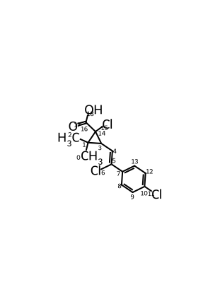 CC1(C)C(/C=C(\Cl)c2ccc(Cl)cc2)C1(Cl)C(=O)O